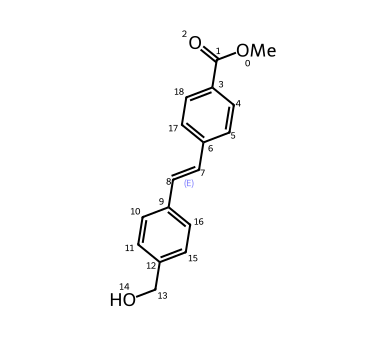 COC(=O)c1ccc(/C=C/c2ccc(CO)cc2)cc1